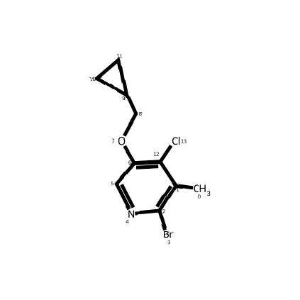 Cc1c(Br)ncc(OCC2CC2)c1Cl